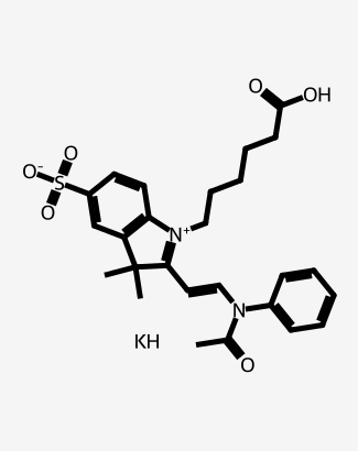 CC(=O)N(/C=C/C1=[N+](CCCCCC(=O)O)c2ccc(S(=O)(=O)[O-])cc2C1(C)C)c1ccccc1.[KH]